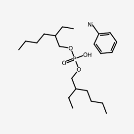 CCCCC(CC)COP(=O)(O)OCC(CC)CCCC.[Ni][c]1ccccc1